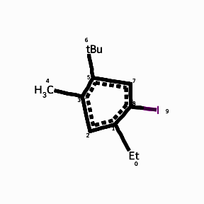 CCc1cc(C)c(C(C)(C)C)cc1I